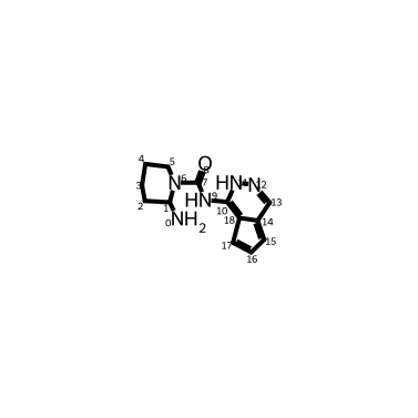 NC1CCCCN1C(=O)Nc1[nH]ncc2cccc1-2